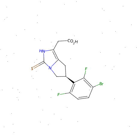 O=C(O)Cc1[nH]c(=S)n2c1C[C@@H](c1c(F)ccc(Br)c1F)C2